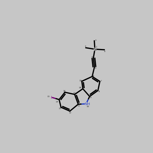 C[Si](C)(C)C#Cc1ccc2[nH]c3ccc(I)cc3c2c1